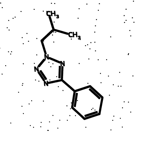 CC(C)Cn1nnc(-c2ccccc2)n1